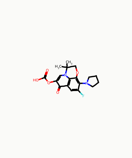 CC1(C)COc2c(N3CCCC3)c(F)cc3c(=O)c(OC(=O)O)cn1c23